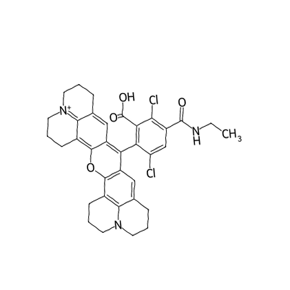 CCNC(=O)c1cc(Cl)c(C2=c3cc4c5c(c3Oc3c2cc2c6c3CCCN6CCC2)CCC[N+]=5CCC4)c(C(=O)O)c1Cl